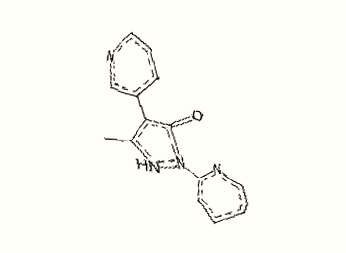 Cc1[nH]n(-c2ccccn2)c(=O)c1-c1cccnc1